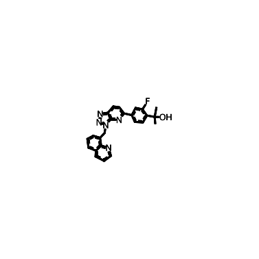 CC(C)(O)c1ccc(-c2ccc3nnn(Cc4cccc5cccnc45)c3n2)cc1F